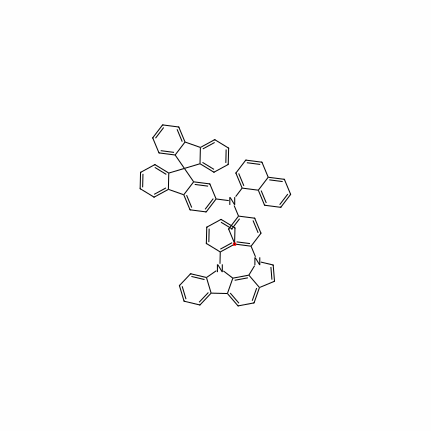 c1ccc(-n2c3ccccc3c3ccc4ccn(-c5ccc(N(c6ccc7c(c6)C6(c8ccccc8-c8ccccc86)c6ccccc6-7)c6cccc7ccccc67)cc5)c4c32)cc1